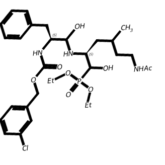 CCOP(=O)(OCC)C(O)[C@H](CC(C)CCNC(C)=O)NC(O)[C@H](Cc1ccccc1)NC(=O)OCc1cccc(Cl)c1